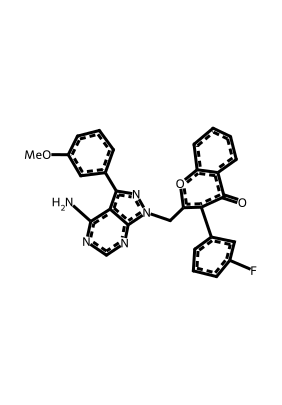 COc1cccc(-c2nn(Cc3oc4ccccc4c(=O)c3-c3cccc(F)c3)c3ncnc(N)c23)c1